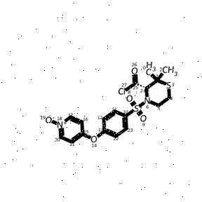 CC1(C)SCCN(S(=O)(=O)c2ccc(Oc3cc[n+]([O-])cc3)cc2)[C@@H]1C(=O)Cl